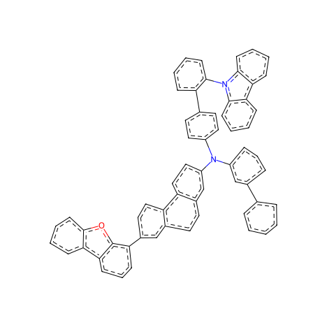 c1ccc(-c2cccc(N(c3ccc(-c4ccccc4-n4c5ccccc5c5ccccc54)cc3)c3ccc4c(ccc5cc(-c6cccc7c6oc6ccccc67)ccc54)c3)c2)cc1